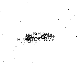 Br.COc1cc(OCCCCCCON2C(N)=NC(N)=NC2(C)C)cc(OC)c1OC